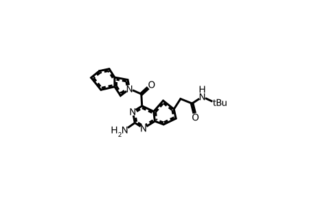 CC(C)(C)NC(=O)Cc1ccc2nc(N)nc(C(=O)n3cc4ccccc4c3)c2c1